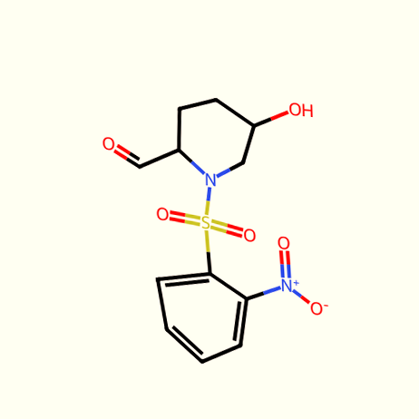 O=CC1CCC(O)CN1S(=O)(=O)c1ccccc1[N+](=O)[O-]